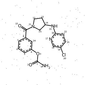 NC(=O)Oc1cccc(C(=O)N2CCC(Nc3ncc(Cl)cn3)C2)c1